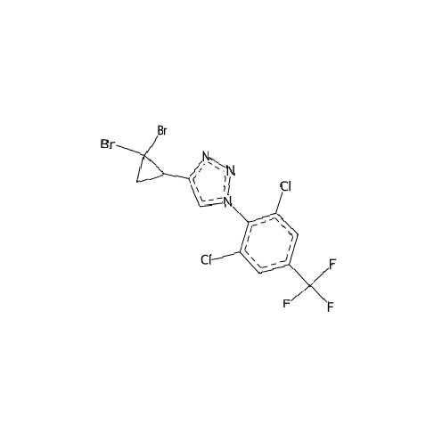 FC(F)(F)c1cc(Cl)c(-n2cc(C3CC3(Br)Br)nn2)c(Cl)c1